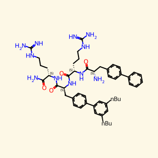 CCCCc1cc(CCCC)cc(-c2ccc(C[C@H](NC(=O)[C@H](CCCNC(=N)N)NC(=O)[C@@H](N)Cc3ccc(-c4ccccc4)cc3)C(=O)N[C@@H](CCCNC(=N)N)C(N)=O)cc2)c1